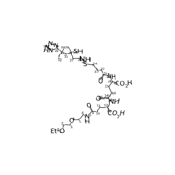 CCOCCOCCNC(=O)CCC(NC(=O)CCC(NC(=O)CCCSNCC(C)(S)CC(C)(C)c1nnn[nH]1)C(=O)O)C(=O)O